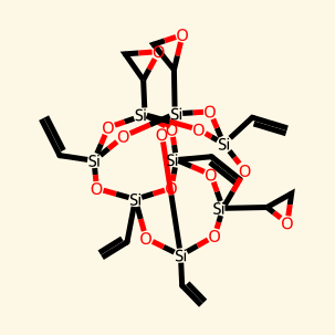 C=C[Si]12O[Si]3(C=C)O[Si]4(C5CO5)O[Si](C=C)(O1)O[Si]1(C5CO5)O[Si](C=C)(O2)O[Si](C2CO2)(O3)O[Si](C=C)(O4)O1